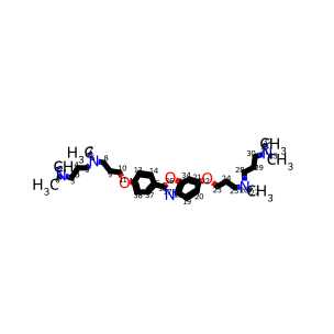 CN(C)CCCN(C)CCCOc1ccc(-c2nc3ccc(OCCCN(C)CCCN(C)C)cc3o2)cc1